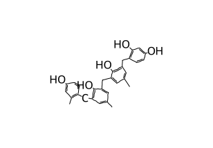 Cc1cc(Cc2ccc(O)cc2C)c(O)c(Cc2cc(C)cc(Cc3ccc(O)cc3O)c2O)c1